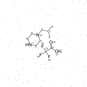 CC(C)CN1CCNCC1.O=C(O)C(F)(F)F